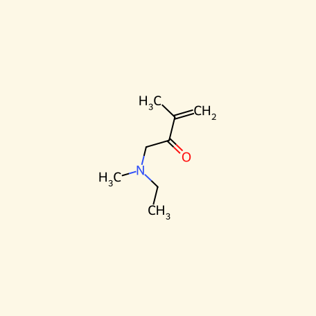 C=C(C)C(=O)CN(C)CC